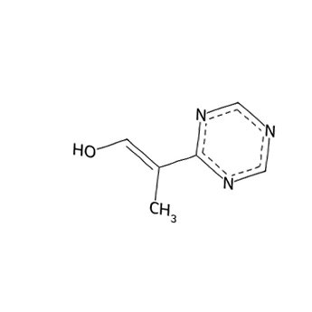 C/C(=C\O)c1ncncn1